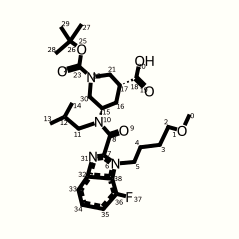 COCCCCn1c(C(=O)N(CC(C)C)[C@H]2C[C@@H](C(=O)O)CN(C(=O)OC(C)(C)C)C2)nc2cccc(F)c21